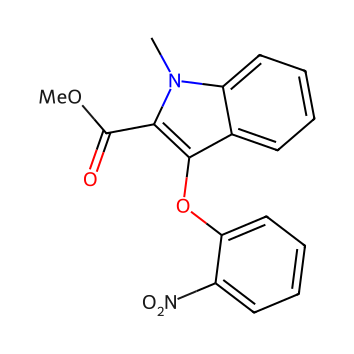 COC(=O)c1c(Oc2ccccc2[N+](=O)[O-])c2ccccc2n1C